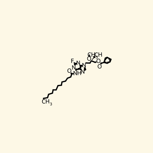 C#C[C@](CCn1cnc2c(NC(=O)CCCCCCCCCCCCC)nc(F)nc21)(COC(=O)c1ccccc1)OC